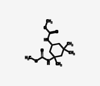 COC(=O)NC1CC(C)(C)CC(C)(NC(=O)OC)C1